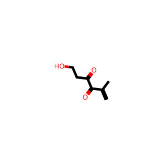 C=C(C)C(=O)C(=O)CCO